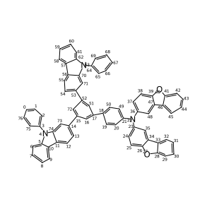 c1ccc(-n2c3ccccc3c3ccc(-c4cc(-c5ccc(N(c6ccc7oc8ccccc8c7c6)c6ccc7oc8ccccc8c7c6)cc5)cc(-c5ccc6c7ccccc7n(-c7ccccc7)c6c5)c4)cc32)cc1